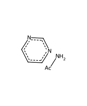 CC(N)=O.c1cncnc1